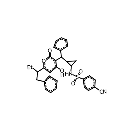 CCC(Cc1ccccc1)c1cc(O)c(C(c2ccccc2)C2CC2NS(=O)(=O)c2ccc(C#N)cc2)c(=O)o1